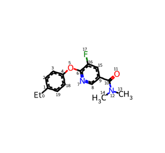 CCc1ccc(Oc2ncc(C(=O)N(C)C)cc2F)cc1